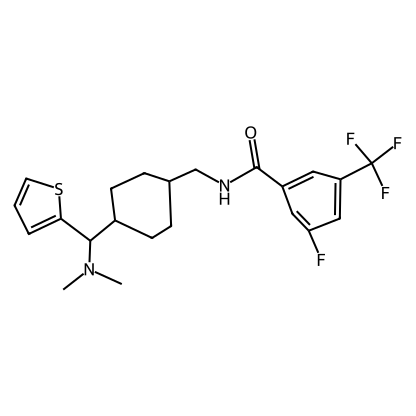 CN(C)C(c1cccs1)C1CCC(CNC(=O)c2cc(F)cc(C(F)(F)F)c2)CC1